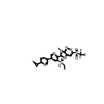 CCS(=O)(=O)c1cc(-c2ccc(C3CC3)nc2)cnc1-c1nc2cc(S(=O)(=O)C(F)(F)F)nnc2n1C